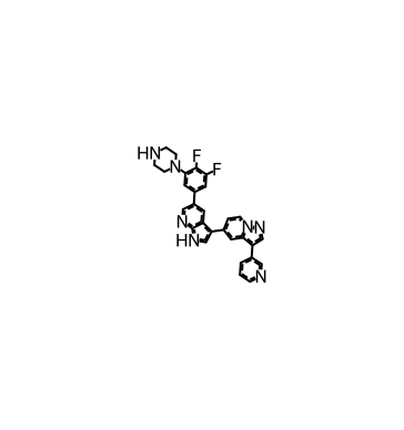 Fc1cc(-c2cnc3[nH]cc(-c4ccn5ncc(-c6cccnc6)c5c4)c3c2)cc(N2CCNCC2)c1F